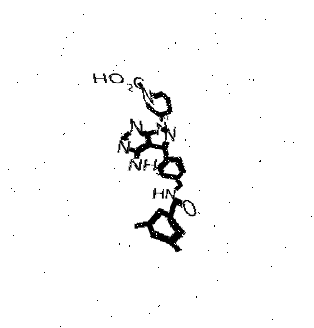 Cc1cc(C)cc(C(=O)NCc2ccc(-c3nn([C@@H]4CCCN(C(=O)O)C4)c4ncnc(N)c34)cc2)c1